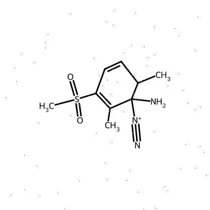 CC1=C(S(C)(=O)=O)C=CC(C)C1(N)[N+]#N